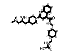 CN(C)CC(O)CC1CCN(c2cc(C(=O)NC[C@H]3CC[C@H](CNC(=O)O)CC3)c3ccccc3n2)CC1